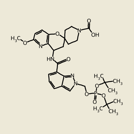 COc1ccc2c(n1)C(NC(=O)c1cccc3cn(COP(=O)(OC(C)(C)C)OC(C)(C)C)nc13)CC1(CCN(C(=O)O)CC1)O2